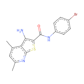 Cc1cc(C)c2c(N)c(C(=O)Nc3ccc(Br)cc3)sc2n1